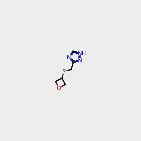 c1nc(CSC2COC2)n[nH]1